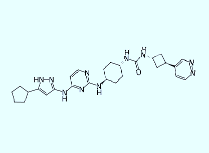 O=C(N[C@H]1CC[C@H](Nc2nccc(Nc3cc(C4CCCC4)[nH]n3)n2)CC1)N[C@H]1C[C@H](c2ccnnc2)C1